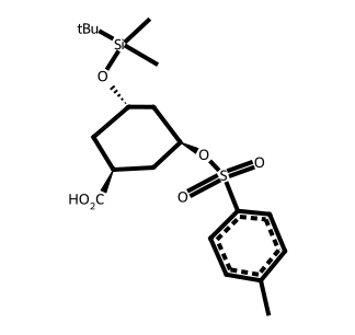 Cc1ccc(S(=O)(=O)O[C@@H]2C[C@@H](O[Si](C)(C)C(C)(C)C)C[C@H](C(=O)O)C2)cc1